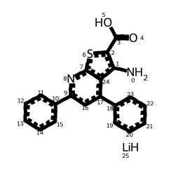 Nc1c(C(=O)O)sc2nc(-c3ccccc3)cc(-c3ccccc3)c12.[LiH]